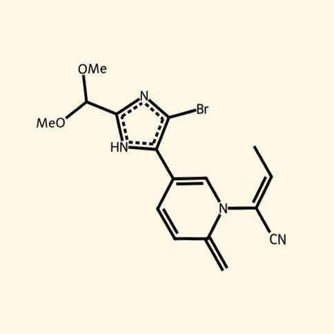 C=C1C=CC(c2[nH]c(C(OC)OC)nc2Br)=CN1/C(C#N)=C\C